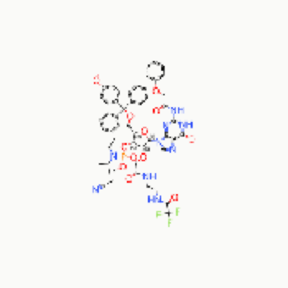 COc1ccc(C(OC[C@H]2O[C@@H](n3cnc4c(=O)[nH]c(NC(=O)COc5ccccc5)nc43)[C@H](OCC(=O)NCCNC(=O)C(F)(F)F)[C@@H]2OP(=O)(OCCC#N)N(C(C)C)C(C)C)(c2ccccc2)c2ccccc2)cc1